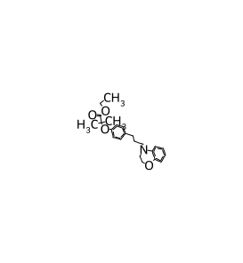 CCOC(=O)C(C)(C)Oc1ccc(CCCN2CCOc3ccccc32)cc1